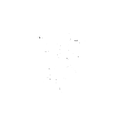 Cc1c([C@@H](C)C(=O)O)c2cc(O)ccc2n1C(=O)c1ccc(F)c(F)c1